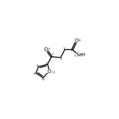 O=C([SeH])CCC(=O)c1ccco1